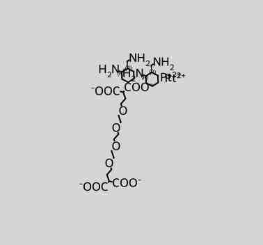 NC[C@H]1CCCC[C@H]1N.NC[C@H]1CCCC[C@H]1N.O=C([O-])C(CCOCCOCCOCCOCCC(C(=O)[O-])C(=O)[O-])C(=O)[O-].[Pt+2].[Pt+2]